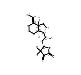 C=C1C(=O)O[C@@H](C[C@@H](C)[C@H]2CC[C@H]3/C(=C/Br)CCC[C@]23C)C1(C)C